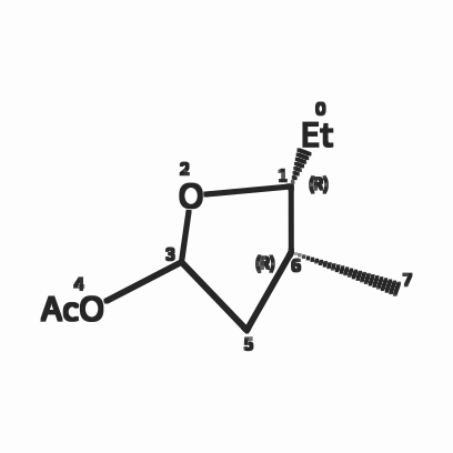 CC[C@H]1OC(OC(C)=O)C[C@H]1C